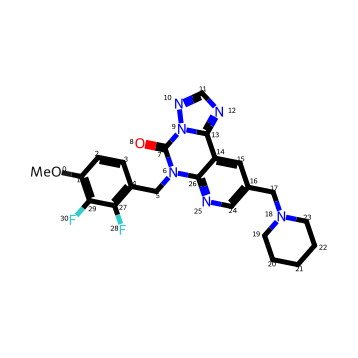 COc1ccc(Cn2c(=O)n3ncnc3c3cc(CN4CCCCC4)cnc32)c(F)c1F